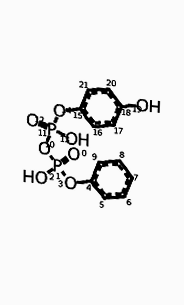 O=P(O)(Oc1ccccc1)OP(=O)(O)Oc1ccc(O)cc1